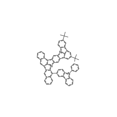 CC(C)(C)c1ccc2c(c1)c1cc(C(C)(C)C)cc3c4cc5c(cc4n2c13)c1c2ccccc2cc2c3cc4ccccc4c(-c4ccc6c(c4)c4ccccc4n6-c4ccccc4)c3n5c21